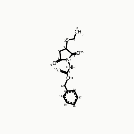 CCSC1CC(=O)N(NC(=O)OCc2ccccc2)C1=O